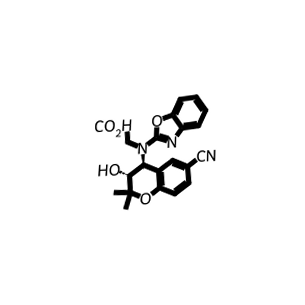 CC1(C)Oc2ccc(C#N)cc2[C@H](N(CC(=O)O)c2nc3ccccc3o2)[C@H]1O